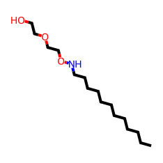 CCCCCCCCCCCCNOCCOCCO